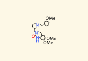 COc1cccc(CCN2CCCC(CN3CCc4cc(OC)c(OC)cc4NC3=O)C2)c1